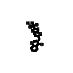 NS(=O)(=O)c1nn2cc(Cn3cnc4ccccc4c3=O)nc2s1